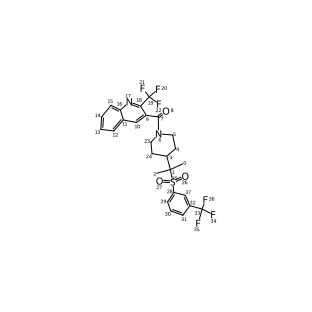 CC(C)(C1CCN(C(=O)c2cc3ccccc3nc2C(F)(F)F)CC1)S(=O)(=O)c1cccc(C(F)(F)F)c1